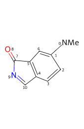 CNc1ccc2c(c1)C(=O)N=C2